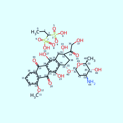 CCC(S(=O)(=O)O)S(=O)(=O)O.COc1cccc2c1C(=O)c1c(O)c3c(c(O)c1C2=O)C[C@@](O)(C(=O)CO)C[C@@H]3O[C@H]1C[C@H](N)[C@@H](O)[C@H](C)O1